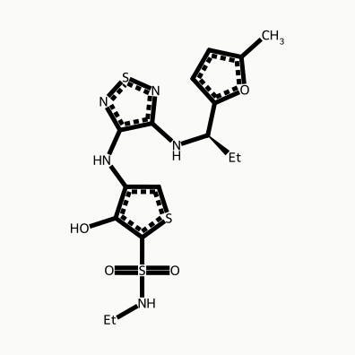 CCNS(=O)(=O)c1scc(Nc2nsnc2N[C@H](CC)c2ccc(C)o2)c1O